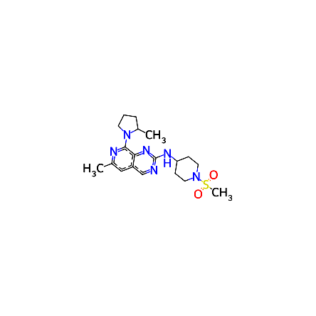 Cc1cc2cnc(NC3CCN(S(C)(=O)=O)CC3)nc2c(N2CCCC2C)n1